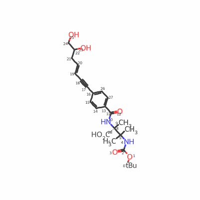 CC(C)(C)OC(=O)NC(C)(C)[C@](C)(NC(=O)c1ccc(C#CC=CCC(O)CO)cc1)C(=O)O